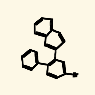 Brc1ccc(-c2ccccc2)c(-c2ccc3ccccc3c2)c1